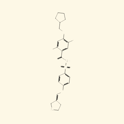 O=C(NS(=O)(=O)c1ccc(O/C=C2\CCNC2)cc1)c1cc(Cl)c(OCC2CCCC2)cc1F